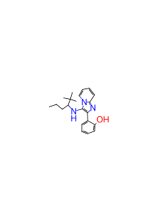 CCCC(Nc1c(-c2ccccc2O)nc2ccccn12)C(C)(C)C